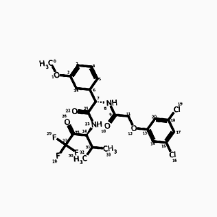 COC1=CC=CC([C@H](NC(=O)COc2cc(Cl)cc(Cl)c2)C(=O)N[C@H](C(=O)C(F)(F)F)C(C)C)C1